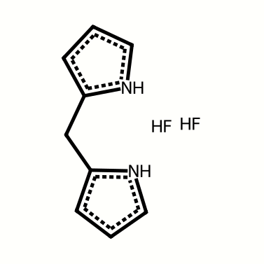 F.F.c1c[nH]c(Cc2ccc[nH]2)c1